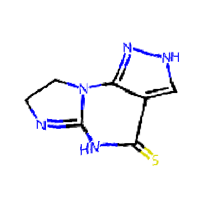 S=C1NC2=NCCN2c2n[nH]cc21